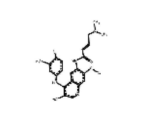 CCOc1cc2ncc(C#N)c(Nc3ccc(F)c(C)c3)c2cc1NC(=O)/C=C/CN(C)C